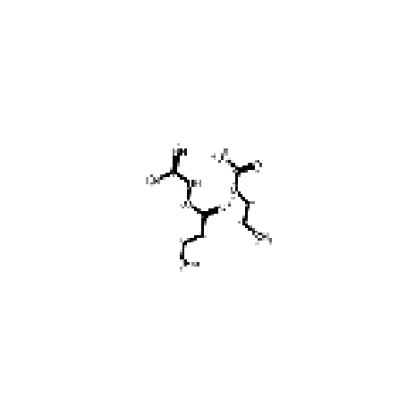 CCCCCCCCCCCC(=O)ONC(=N)N.CCCOC(C)=O